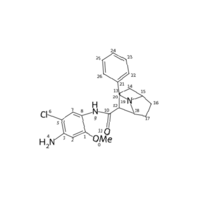 COc1cc(N)c(Cl)cc1NC(=O)C1CCC2CCC1N2Cc1ccccc1